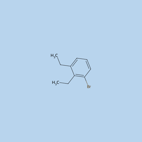 CCc1cccc(Br)c1CC